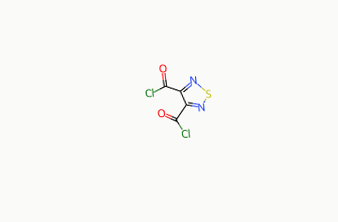 O=C(Cl)c1nsnc1C(=O)Cl